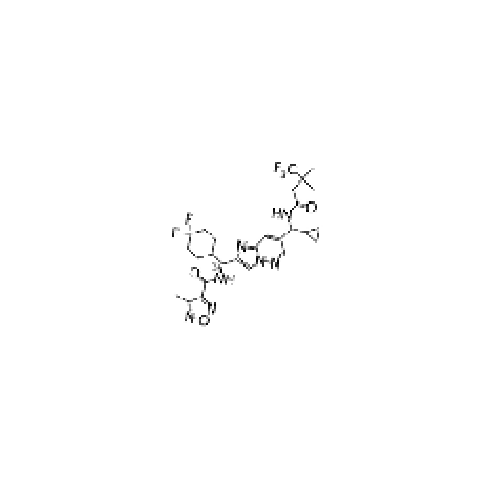 Cc1nonc1C(=O)N[C@H](c1cn2ncc(C(NC(=O)CC(C)(C)C(F)(F)F)C3CC3)cc2n1)C1CCC(F)(F)CC1